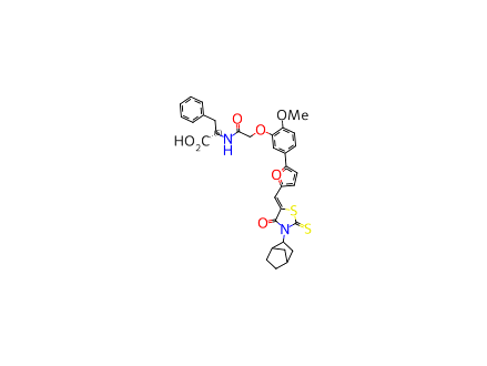 COc1ccc(-c2ccc(C=C3SC(=S)N(C4CC5CCC4C5)C3=O)o2)cc1OCC(=O)N[C@@H](Cc1ccccc1)C(=O)O